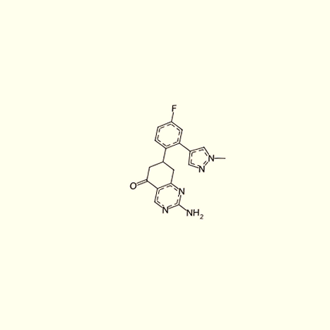 Cn1cc(-c2cc(F)ccc2C2CC(=O)c3cnc(N)nc3C2)cn1